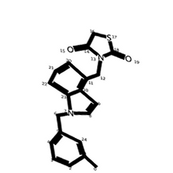 Cc1cccc(Cn2ccc3c(CN4C(=O)CSC4=O)cccc32)c1